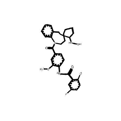 COc1cc(C(=O)N2CCC3(CCCC3NO)Cc3ccccc32)ccc1NC(=O)c1cc(F)ccc1Cl